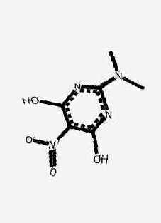 CN(C)c1nc(O)c([N+](=O)[O-])c(O)n1